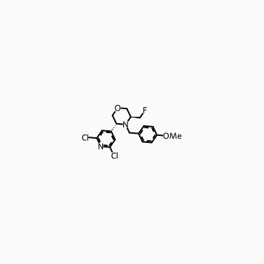 COc1ccc(CN2[C@H](CF)COC[C@H]2c2cc(Cl)nc(Cl)c2)cc1